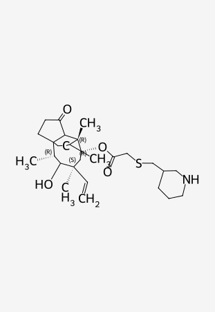 C=C[C@]1(C)C[C@@H](OC(=O)CSCC2CCCNC2)[C@]2(C)C(C)CCC3(CCC(=O)C32)[C@@H](C)C1O